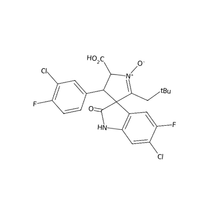 CC(C)(C)CC1=[N+]([O-])C(C(=O)O)C(c2ccc(F)c(Cl)c2)C12C(=O)Nc1cc(Cl)c(F)cc12